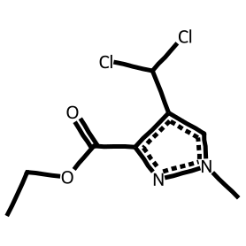 CCOC(=O)c1nn(C)cc1C(Cl)Cl